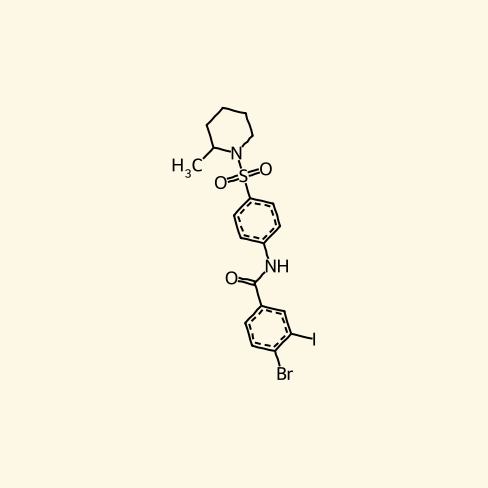 CC1CCCCN1S(=O)(=O)c1ccc(NC(=O)c2ccc(Br)c(I)c2)cc1